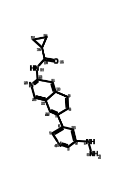 NNc1cncc(-c2ccc3cc(NC(=O)C4CC4)ncc3c2)c1